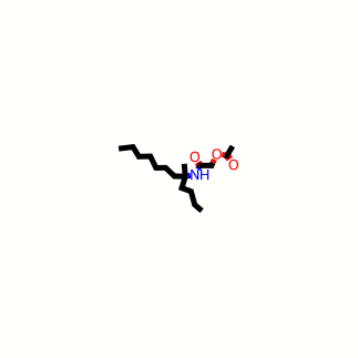 CCCCCCCC(C)(CCCC)NC(=O)COC(C)=O